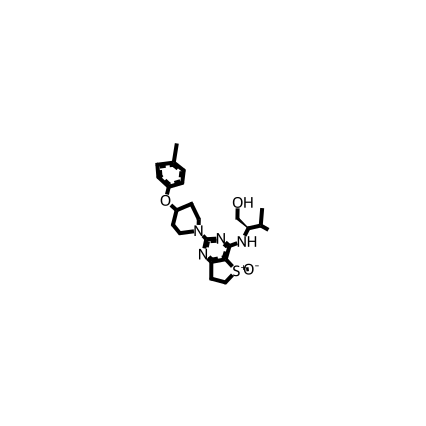 Cc1ccc(OC2CCN(c3nc4c(c(N[C@@H](CO)C(C)C)n3)[S+]([O-])CC4)CC2)cc1